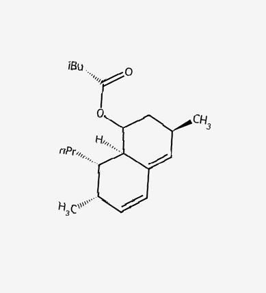 CCC[C@@H]1[C@@H]2C(=C[C@H](C)CC2OC(=O)[C@@H](C)CC)C=C[C@@H]1C